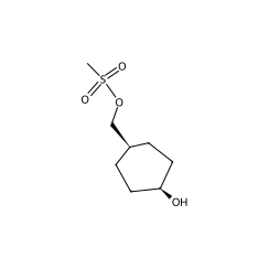 CS(=O)(=O)OC[C@H]1CC[C@@H](O)CC1